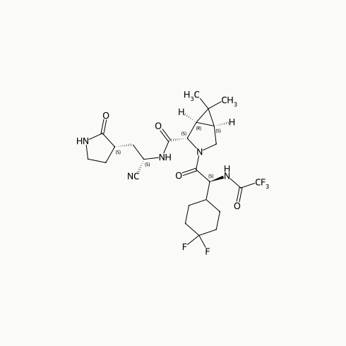 CC1(C)[C@@H]2[C@@H](C(=O)N[C@H](C#N)C[C@@H]3CCNC3=O)N(C(=O)[C@@H](NC(=O)C(F)(F)F)C3CCC(F)(F)CC3)C[C@@H]21